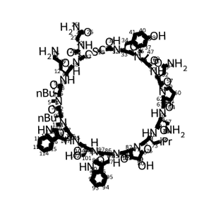 CCCC[C@H]1C(=O)N(C)[C@@H](CCCC)C(=O)N[C@@H](CCCN)C(=O)N[C@H](C(=O)NCC(N)=O)CSCC(=O)N[C@@H](Cc2ccc(O)cc2)C(=O)N(C)[C@@H](C)C(=O)N[C@@H](CC(N)=O)C(=O)N2CCC[C@H]2C(=O)N[C@@H](CN)C(=O)N[C@@H](CC(C)C)C(=O)N2C[C@@H](O)C[C@H]2C(=O)N[C@@H](Cc2c[nH]c3ccccc23)C(=O)N[C@@H](CO)C(=O)N[C@@H](Cc2c[nH]c3ccccc23)C(=O)N1C